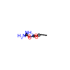 C=CCCCCCC1CCC(C(=O)Oc2ccc(/C=C/C(=O)OCc3cc(N)cc(N)c3)cc2)CC1